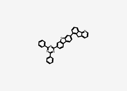 c1ccc(-c2nc(-c3ccccc3)nc(-c3ccc4c(c3)sc3cc(-c5cccc6c5Cc5cccnc5-6)ccc34)n2)cc1